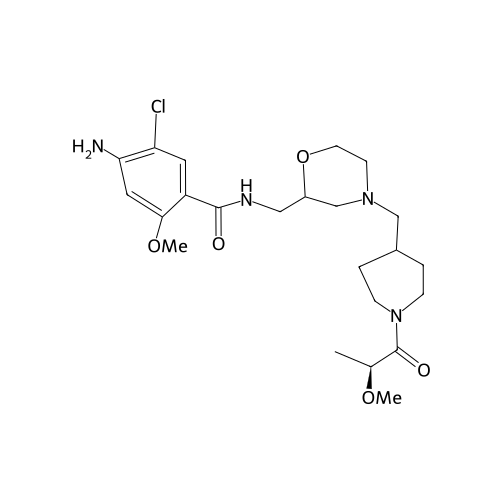 COc1cc(N)c(Cl)cc1C(=O)NCC1CN(CC2CCN(C(=O)[C@H](C)OC)CC2)CCO1